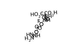 N=C(N)Nc1ccc(C(=O)Oc2ccc(CNS(=O)(=O)N[C@@H](CC(=O)O)C(=O)O)c(F)c2)cc1